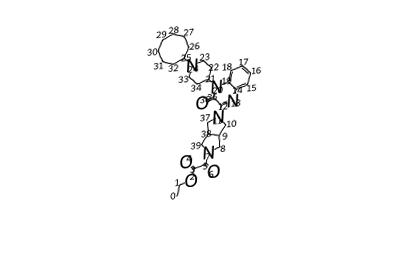 CCOC(=O)C(=O)N1CC2CN(c3nc4ccccc4n(C4CCN(C5CCCCCCC5)CC4)c3=O)CC2C1